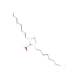 CCCCCCCCN1CCN(CCCCCCCC)C1C(=O)O